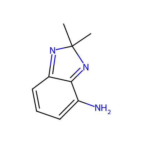 CC1(C)N=c2cccc(N)c2=N1